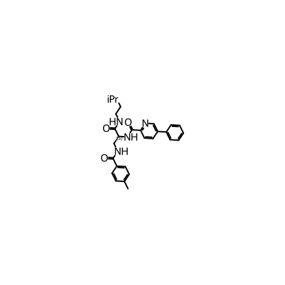 Cc1ccc(C(=O)NC[C@H](NC(=O)c2ccc(-c3ccccc3)cn2)C(=O)NCCC(C)C)cc1